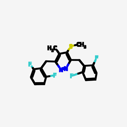 CSc1c(Cc2c(F)cccc2F)nnc(Cc2c(F)cccc2F)c1C